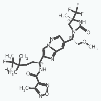 COC[C@H](c1cnn2cc([C@H](CCC(C)(C)C(C)(C)F)NC(=O)c3nonc3C)nc2c1)N1C[C@@](C)(C(F)(F)F)NC1=O